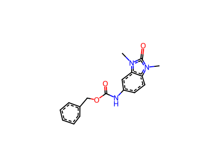 Cn1c(=O)n(C)c2cc(NC(=O)OCc3ccccc3)ccc21